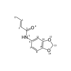 CC=CC(=O)Nc1ccc2c(c1)OCO2